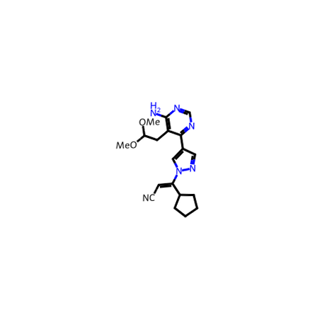 COC(Cc1c(N)ncnc1-c1cnn(C(=CC#N)C2CCCC2)c1)OC